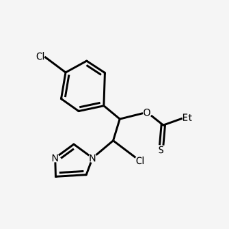 CCC(=S)OC(c1ccc(Cl)cc1)C(Cl)n1ccnc1